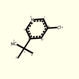 CC(C)(C#N)c1cncc(Cl)c1